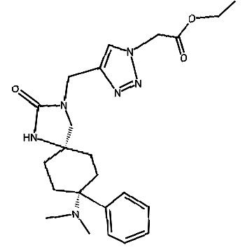 CCOC(=O)Cn1cc(CN2C[C@]3(CC[C@@](c4ccccc4)(N(C)C)CC3)NC2=O)nn1